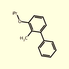 [CH2]c1c(OC(C)C)cccc1-c1ccccc1